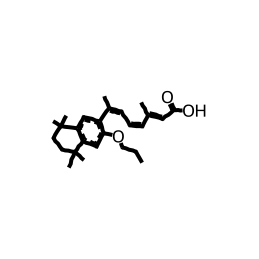 CCCOc1cc2c(cc1/C(C)=C\C=CC(C)=CC(=O)O)C(C)(C)CCC2(C)C